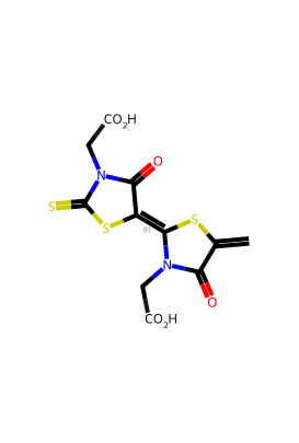 C=c1s/c(=C2/SC(=S)N(CC(=O)O)C2=O)n(CC(=O)O)c1=O